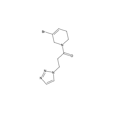 O=C(CCn1ccnn1)N1CCC=C(Br)C1